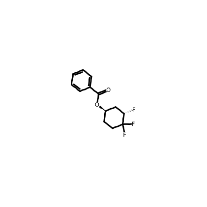 O=C(O[C@@H]1CCC(F)(F)[C@@H](F)C1)c1ccccc1